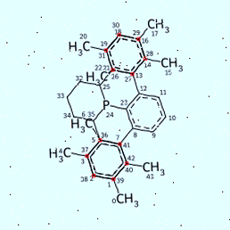 Cc1cc(C)c(C)c(-c2cccc(-c3c(C)c(C)cc(C)c3C)c2P2C(c3ccccc3)CCCC2c2ccccc2)c1C